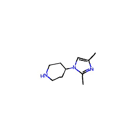 Cc1cn(C2CCNCC2)c(C)n1